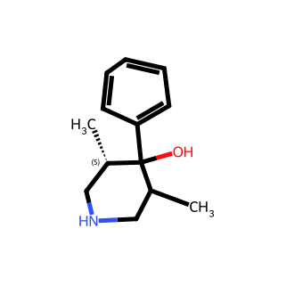 CC1CNC[C@H](C)C1(O)c1ccccc1